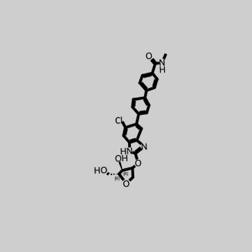 CNC(=O)c1ccc(-c2ccc(-c3cc4nc(OC5CO[C@H](CO)[C@H]5O)[nH]c4cc3Cl)cc2)cc1